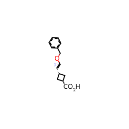 O=C(O)[C@H]1C[C@H](/C=C/OCc2ccccc2)C1